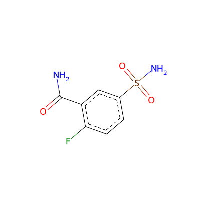 NC(=O)c1cc(S(N)(=O)=O)ccc1F